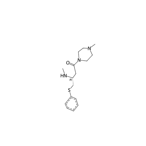 CN[C@@H](CSc1ccccc1)CC(=O)N1CCN(C)CC1